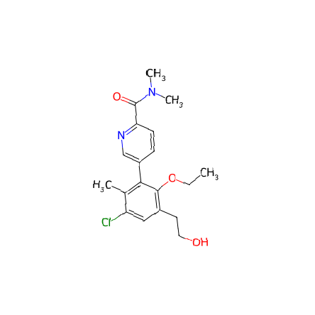 CCOc1c(CCO)cc(Cl)c(C)c1-c1ccc(C(=O)N(C)C)nc1